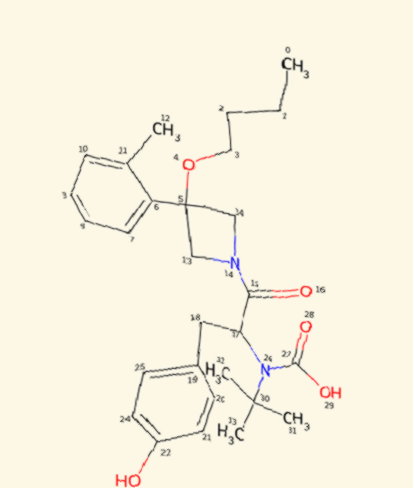 CCCCOC1(c2ccccc2C)CN(C(=O)C(Cc2ccc(O)cc2)N(C(=O)O)C(C)(C)C)C1